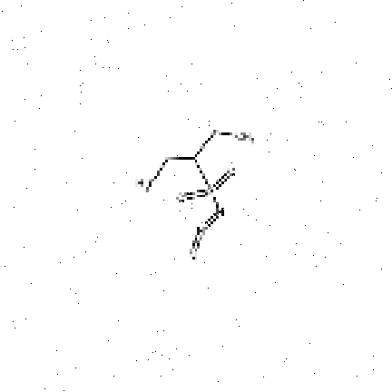 CCC(CC)S(=O)(=O)N=[N+]=[N-]